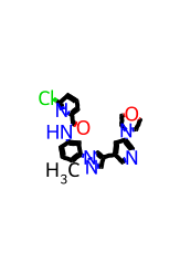 Cc1ccc(NC(=O)c2cccc(Cl)n2)cc1-n1cc(-c2cncc(N3CCOCC3)c2)cn1